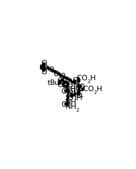 CC(C)[C@H](NC(=O)[C@H](CCC(=O)O)NC(=O)[C@H](CCC(=O)O)NC(=O)CCOCCOCCOCCOCCN1C(=O)C=CC1=O)C(=O)N[C@@H](CCCNC(N)=O)C(=O)Nc1ccc(COC(=O)C(C)(C)C)cc1